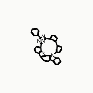 c1ccc(-c2nc3nc(n2)c2cccc4c5ccc6c7ccccc7n(c7cccc(c7)c7cccc3c7)c6c5sc24)cc1